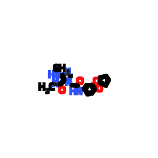 CNC(=O)c1c(NC)ncn1CC(=O)Nc1ccc2c(c1)OC1(CCCC1)O2